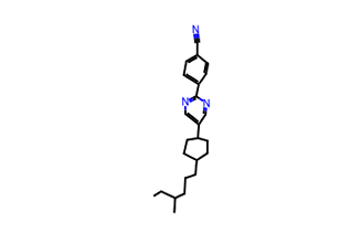 CCC(C)CCCC1CCC(c2cnc(-c3ccc(C#N)cc3)nc2)CC1